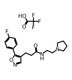 O=C(CCc1cnoc1-c1ccc(F)cc1)NCCN1CCCC1.O=C(O)C(F)(F)F